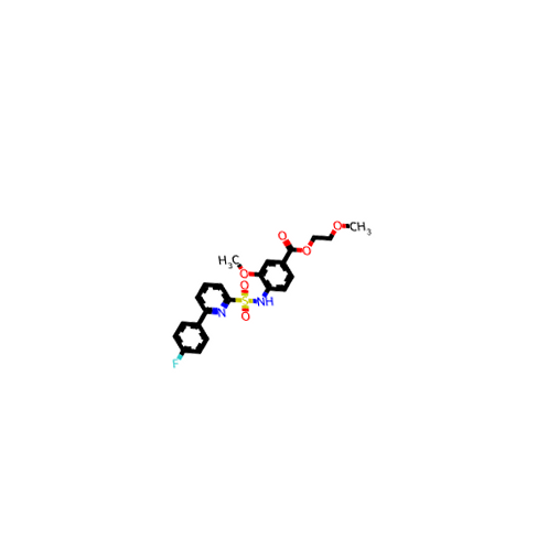 COCCOC(=O)c1ccc(NS(=O)(=O)c2cccc(-c3ccc(F)cc3)n2)c(OC)c1